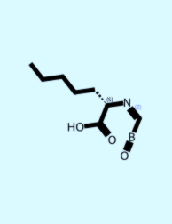 CCCCC[C@H](/N=C\B=O)C(=O)O